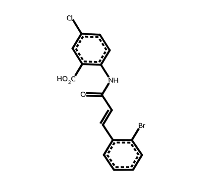 O=C(C=Cc1ccccc1Br)Nc1ccc(Cl)cc1C(=O)O